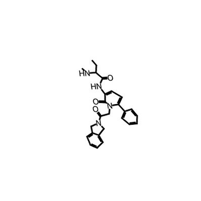 CCC(NC)C(=O)Nc1ccc(-c2ccccc2)n(CC(=O)N2Cc3ccccc3C2)c1=O